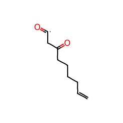 C=CCCCCC(=O)C[C]=O